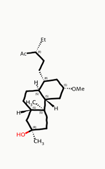 CC[C@H](CC[C@@H]1C[C@H](OC)C[C@H]2[C@H]1CC[C@H]1C[C@](C)(O)CC[C@@]12C)C(C)=O